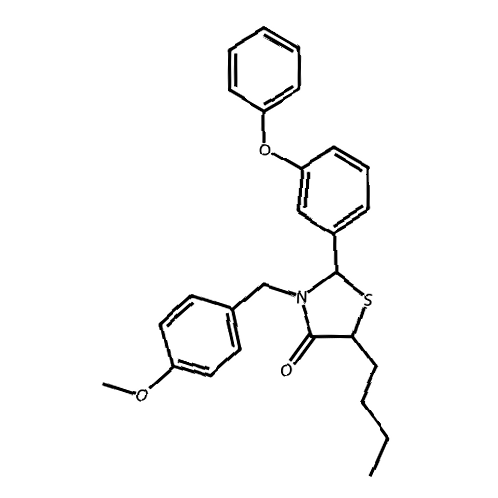 CCCCC1SC(c2cccc(Oc3ccccc3)c2)N(Cc2ccc(OC)cc2)C1=O